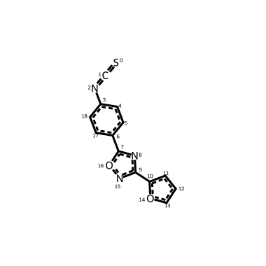 S=C=Nc1ccc(-c2nc(-c3ccco3)no2)cc1